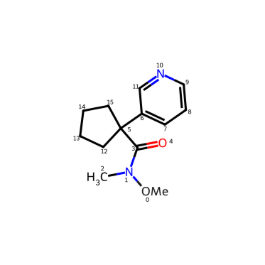 CON(C)C(=O)C1(c2cccnc2)CCCC1